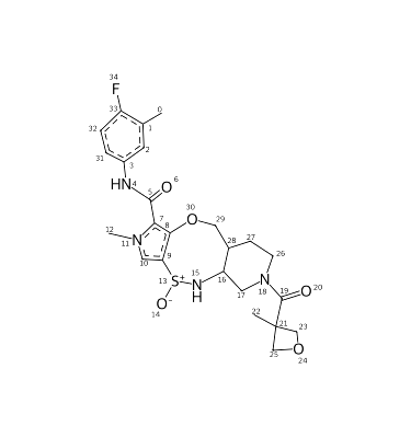 Cc1cc(NC(=O)c2c3c(cn2C)[S+]([O-])NC2CN(C(=O)C4(C)COC4)CCC2CO3)ccc1F